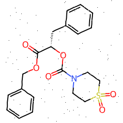 O=C(OCc1ccccc1)[C@H](Cc1ccccc1)OC(=O)N1CCS(=O)(=O)CC1